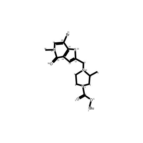 CC1CN(C(=O)OC(C)(C)C)CCN1Cc1cc2c(=O)n(C)cc(Br)c2s1